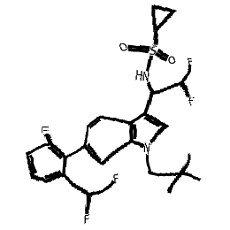 CC(C)(C)Cn1cc(C(NS(=O)(=O)C2CC2)C(F)F)c2ccc(-c3c(F)cccc3C(F)F)cc21